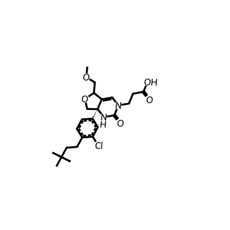 COCC1OC[C@]2(c3ccc(CCC(C)(C)C)c(Cl)c3)NC(=O)N(CCC(=O)O)C=C12